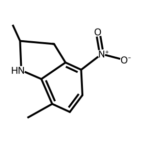 Cc1ccc([N+](=O)[O-])c2c1NC(C)C2